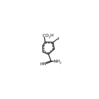 N=C(N)c1ccc(C(=O)O)c(I)c1